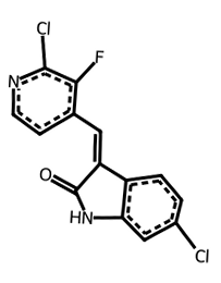 O=C1Nc2cc(Cl)ccc2/C1=C/c1ccnc(Cl)c1F